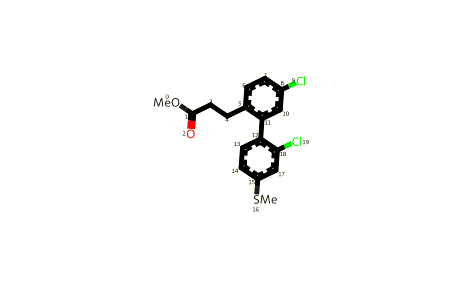 COC(=O)CCc1ccc(Cl)cc1-c1ccc(SC)cc1Cl